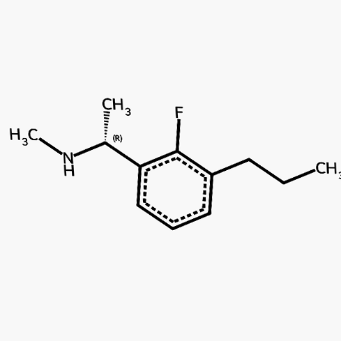 CCCc1cccc([C@@H](C)NC)c1F